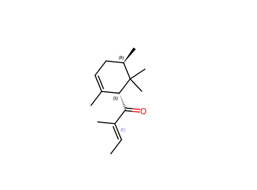 C/C=C(\C)C(=O)[C@@H]1C(C)=CC[C@@H](C)C1(C)C